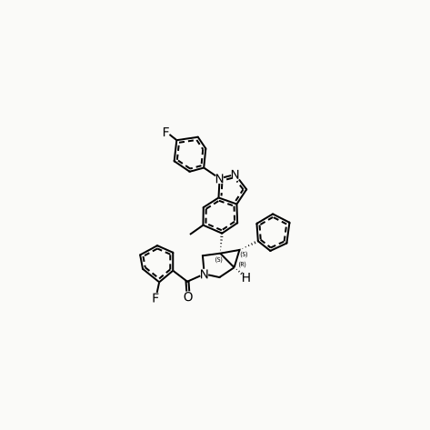 Cc1cc2c(cnn2-c2ccc(F)cc2)cc1[C@@]12CN(C(=O)c3ccccc3F)C[C@@H]1[C@H]2c1ccccc1